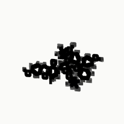 COc1ccc(Cn2c(=O)c(F)cn([C@H]3C[C@H](O[Si](C)(C)C(C)(C)C)[C@@](COC(c4ccccc4)(c4ccc(OC)cc4)c4ccc(OC)cc4)(CO[Si](C)(C)C(C)(C)C)O3)c2=O)cc1